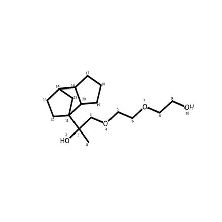 CC(O)(COCCOCCO)C12CCC(C1)C1CCCC12